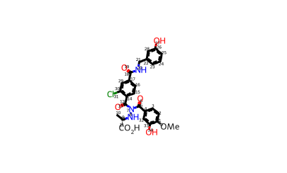 COc1ccc(C(=O)N(N[C@@H](C)C(=O)O)C(=O)c2ccc(C(=O)NCc3cccc(O)c3)cc2Cl)cc1O